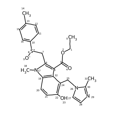 CCOC(=O)c1c(C[S+]([O-])c2ccc(C)cc2)n(C)c2ccc(O)c(Cn3ccnc3C)c12